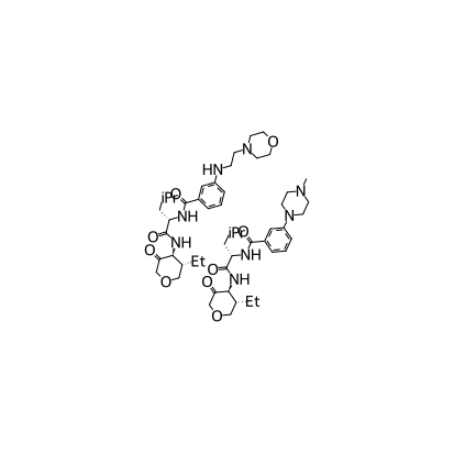 CC[C@@H]1COCC(=O)[C@H]1NC(=O)[C@H](CC(C)C)NC(=O)c1cccc(N2CCN(C)CC2)c1.CC[C@@H]1COCC(=O)[C@H]1NC(=O)[C@H](CC(C)C)NC(=O)c1cccc(NCCN2CCOCC2)c1